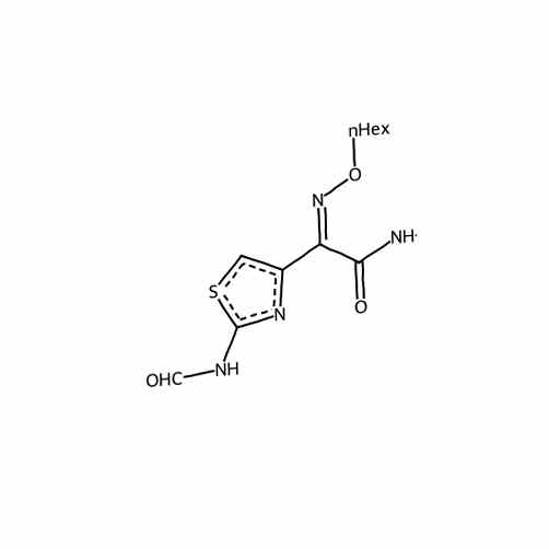 CCCCCCON=C(C([NH])=O)c1csc(NC=O)n1